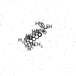 CN(C)[C@@H]1C(O)=C(C(N)=O)C(=O)[C@@]2(O)C(O)=C3C(=O)c4c(ccc(NC(=O)C(CS)N5CCNCC5)c4O)CC3CC12